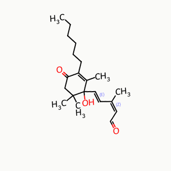 CCCCCCC1=C(C)C(O)(/C=C/C(C)=C\C=O)C(C)(C)CC1=O